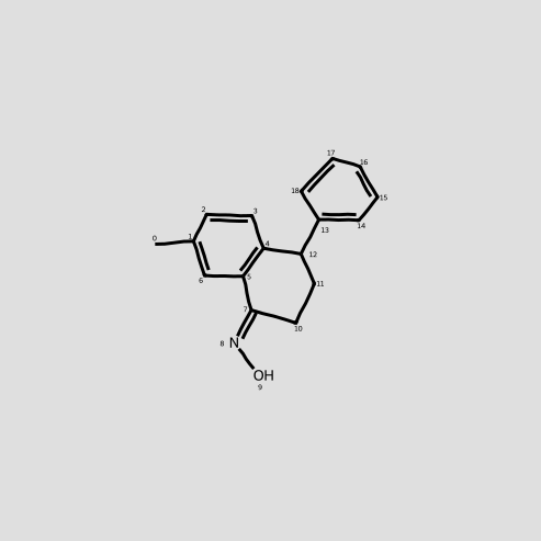 Cc1ccc2c(c1)C(=NO)CCC2c1ccccc1